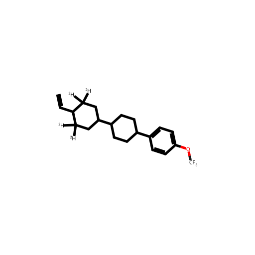 [2H]C1([2H])CC(C2CCC(c3ccc(OC(F)(F)F)cc3)CC2)CC([2H])([2H])C1C=C